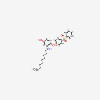 CCCCCCCCCCCCCCCCCCNc1cc(O)ccc1Oc1ccc(S(=O)(=O)c2ccccc2)cc1